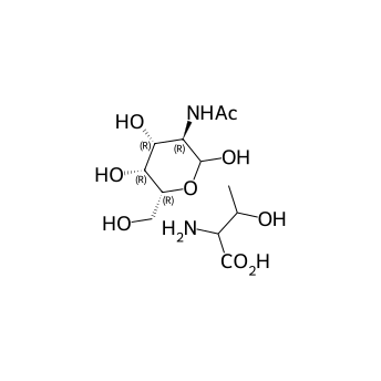 CC(=O)N[C@H]1C(O)O[C@H](CO)[C@H](O)[C@@H]1O.CC(O)C(N)C(=O)O